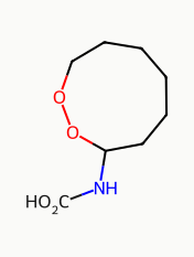 O=C(O)NC1CCCCCCOO1